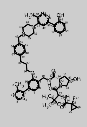 Cc1ncsc1-c1ccc(CNC(=O)[C@@H]2C[C@@H](O)CN2C(=O)[C@@H](NC(=O)C2(F)CC2)C(C)(C)C)c(OCCCc2ccc(CN3CCN(c4cc(-c5ccccc5O)nnc4N)CC3)cc2)c1